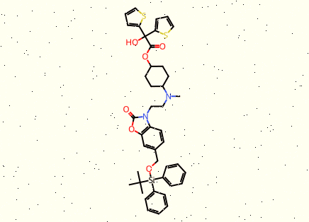 CN(CCn1c(=O)oc2cc(CO[Si](c3ccccc3)(c3ccccc3)C(C)(C)C)ccc21)C1CCC(OC(=O)C(O)(c2cccs2)c2cccs2)CC1